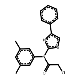 Cc1cc(C)cc(N(C(=O)CCl)c2nc(-c3ccccc3)cs2)c1